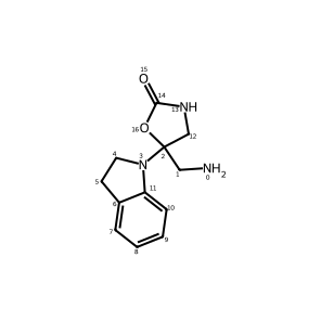 NCC1(N2CCc3ccccc32)CNC(=O)O1